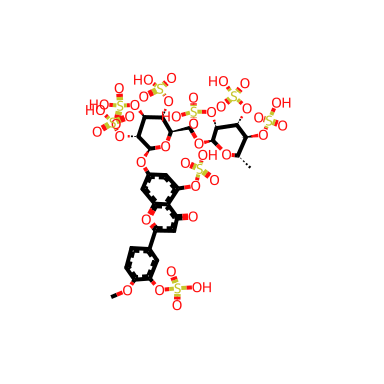 COc1ccc(-c2cc(=O)c3c(OS(=O)(=O)O)cc(O[C@@H]4O[C@H](CO[C@@H]5O[C@@H](C)[C@H](OS(=O)(=O)O)[C@@H](OS(=O)(=O)O)[C@H]5OS(=O)(=O)O)[C@@H](OS(=O)(=O)O)[C@H](OS(=O)(=O)O)[C@H]4OS(=O)(=O)O)cc3o2)cc1OS(=O)(=O)O